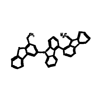 CCc1cc(-n2c3ccccc3c3c(-c4cccc5c6ccccc6n(C)c45)cccc32)cc2c1sc1ccccc12